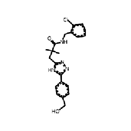 CC(C)(Cc1nnc(-c2ccc(CO)cc2)[nH]1)C(=O)NCc1ccccc1Cl